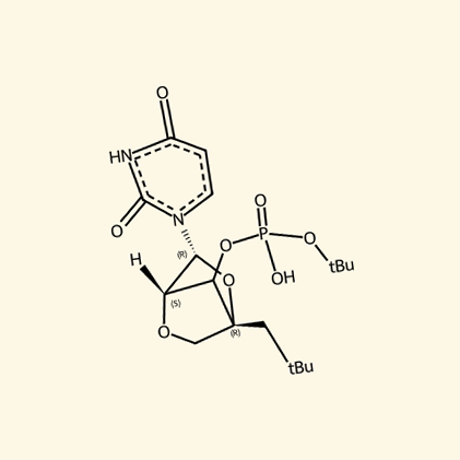 CC(C)(C)C[C@@]12CO[C@@H](C1OP(=O)(O)OC(C)(C)C)[C@H](n1ccc(=O)[nH]c1=O)O2